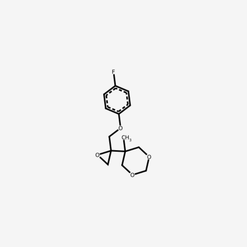 CC1(C2(COc3ccc(F)cc3)CO2)COCOC1